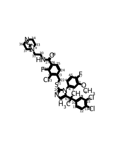 COc1cc(-n2c(C(C)(C)c3ccc(Cl)c(Cl)c3)cnc2SCc2ccc(C(=O)NCC[N+]34CCN(CC3)CC4)c(F)c2Cl)ccc1F